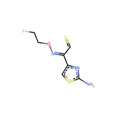 Nc1nc(C(C=S)=NOCCF)cs1